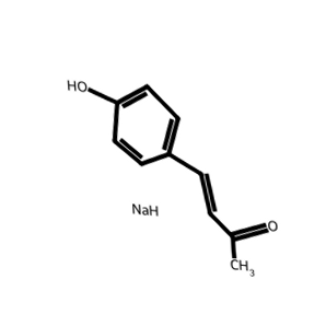 CC(=O)C=Cc1ccc(O)cc1.[NaH]